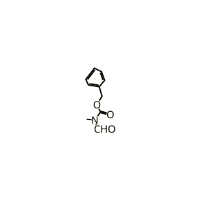 CN(C=O)C(=O)OCc1ccccc1